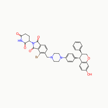 O=C1CCC(N2C(=O)c3ccc(CN4CCN(c5ccc([C@@H]6c7ccc(O)cc7OC[C@@H]6c6ccccc6)cc5)CC4)c(Br)c3C2=O)C(=O)N1